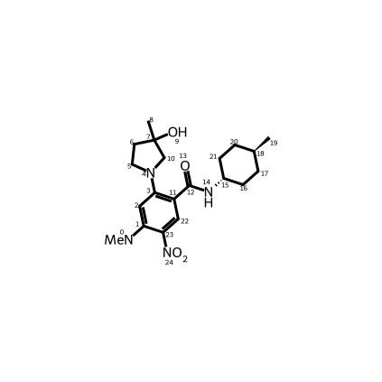 CNc1cc(N2CCC(C)(O)C2)c(C(=O)N[C@H]2CC[C@H](C)CC2)cc1[N+](=O)[O-]